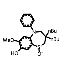 CCCCC1(CCCC)CN(c2ccccc2)c2cc(OC)c(O)cc2[S+]([O-])C1